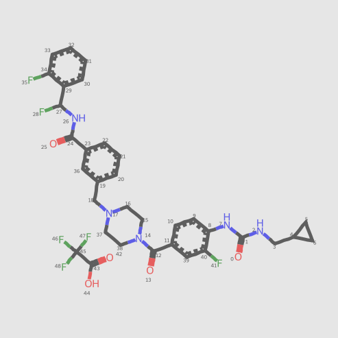 O=C(NCC1CC1)Nc1ccc(C(=O)N2CCN(Cc3cccc(C(=O)NC(F)c4ccccc4F)c3)CC2)cc1F.O=C(O)C(F)(F)F